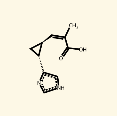 CC(=C[C@@H]1C[C@H]1c1c[nH]cn1)C(=O)O